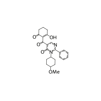 COC1CCC(n2c(-c3ccccc3)ncc(C(=O)C3=C(O)CCCC3=O)c2=O)CC1